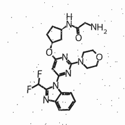 NCC(=O)N[C@@H]1CC[C@H](Oc2cc(-n3c(C(F)F)nc4ccccc43)nc(N3CCOCC3)n2)C1